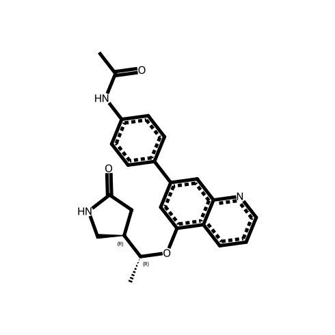 CC(=O)Nc1ccc(-c2cc(O[C@H](C)[C@H]3CNC(=O)C3)c3cccnc3c2)cc1